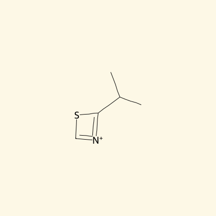 CC(C)C1=[N+]=CS1